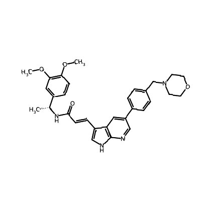 COc1ccc([C@@H](C)NC(=O)/C=C/c2c[nH]c3ncc(-c4ccc(CN5CCOCC5)cc4)cc23)cc1OC